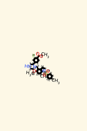 COC(=O)c1ccc(C2CNCCN2Cc2c(OC)cc(C)c3c2ccn3S(=O)(=O)c2ccc(C)cc2)cc1F